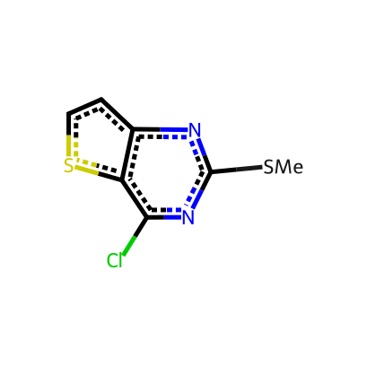 CSc1nc(Cl)c2sccc2n1